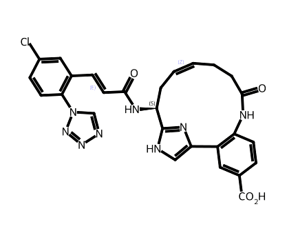 O=C(/C=C/c1cc(Cl)ccc1-n1cnnn1)N[C@H]1C/C=C\CCC(=O)Nc2ccc(C(=O)O)cc2-c2c[nH]c1n2